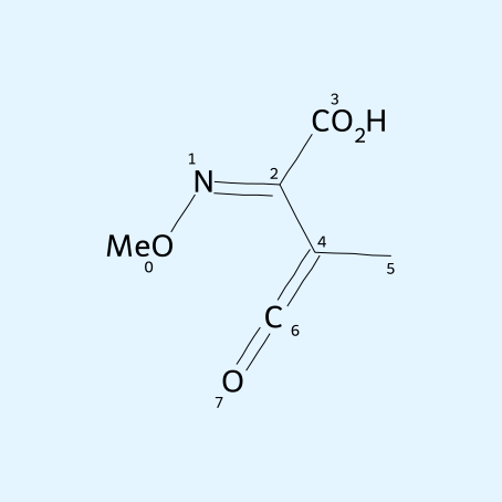 CON=C(C(=O)O)C(C)=C=O